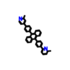 Cc1cc(-c2ccc(-c3c4ccccc4c(-c4ccc(-c5cccc(C)n5)cc4)c4ccccc34)cc2)ccn1